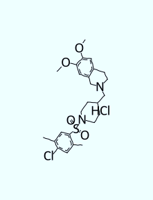 COc1cc2c(cc1OC)CN(CC1CCN(S(=O)(=O)c3cc(C)c(Cl)cc3C)CC1)CC2.Cl